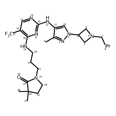 Cc1nn(C2CN(CC(C)C)C2)cc1Nc1ncc(C(F)(F)F)c(NCCCN2CCC(C)(C)C2=O)n1